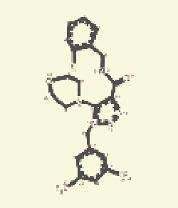 O=C(NCc1ccccc1Cl)c1nnn(Cc2cc(C(F)(F)F)cc(C(F)(F)F)c2)c1N1CCOCC1